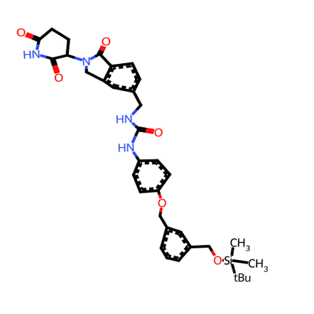 CC(C)(C)[Si](C)(C)OCc1cccc(COc2ccc(NC(=O)NCc3ccc4c(c3)CN(C3CCC(=O)NC3=O)C4=O)cc2)c1